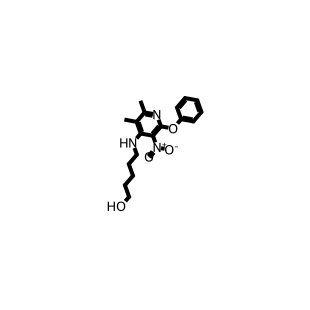 Cc1nc(Oc2ccccc2)c([N+](=O)[O-])c(NCCCCCO)c1C